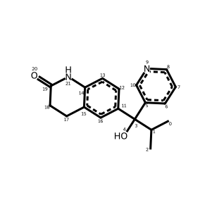 CC(C)C(O)(c1cccnc1)c1ccc2c(c1)CCC(=O)N2